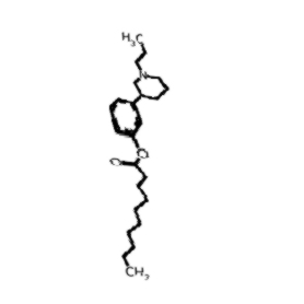 CCCCCCCCCC(=O)Oc1cccc(C2CCCN(CCC)C2)c1